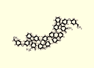 C=Cc1ccc(Oc2ccc(C3(c4ccc(F)c(C)c4)c4ccccc4-c4ccc(N(c5ccc(-c6ccc(N(c7ccc8c(c7)C(c7ccc(Oc9ccc(C=C)cc9)cc7)(c7ccc(F)c(C)c7)c7ccccc7-8)c7cccc8oc9ccccc9c78)cc6)cc5)c5cccc6oc7ccccc7c56)cc43)cc2)cc1